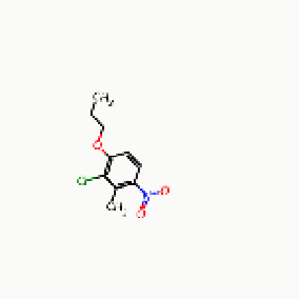 CCCOc1ccc([N+](=O)[O-])c(C)c1Cl